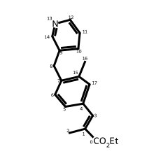 CCOC(=O)C(C)=Cc1ccc(Cc2cccnc2)c(C)c1